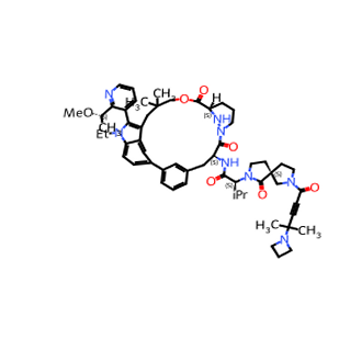 CCn1c(-c2cccnc2[C@H](C)OC)c2c3cc(ccc31)-c1cccc(c1)C[C@H](NC(=O)[C@H](C(C)C)N1CC[C@]3(CCN(C(=O)C#CC(C)(C)N4CCC4)C3)C1=O)C(=O)N1CCC[C@H](N1)C(=O)OCC(C)(C)C2